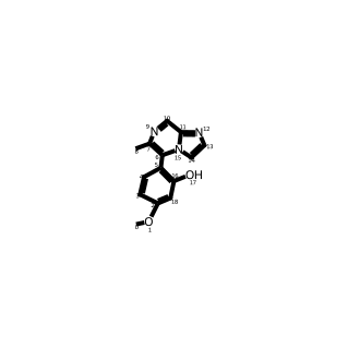 COc1ccc(-c2c(C)ncc3nccn23)c(O)c1